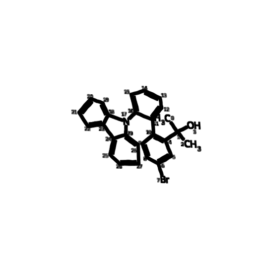 CC(C)(O)c1cc(Br)ccc1-c1ccccc1-n1c2ccccc2c2ccccc21